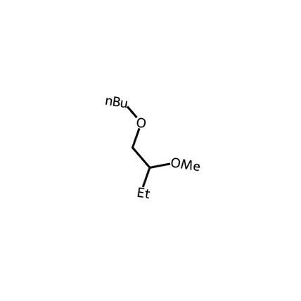 [CH2]CC(COCCCC)OC